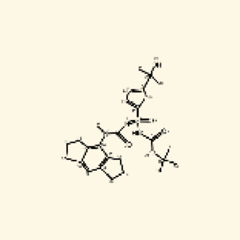 CN(C(=O)N=S(=O)(NC(=O)OC(C)(C)C)c1cnc(C(C)(C)O)s1)c1c2c(cc3c1CCC3)CCC2